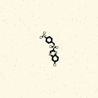 O=[N+]([O-])c1ccc(CS(=O)(=O)c2cnc3cc(Cl)ccc3n2)cc1